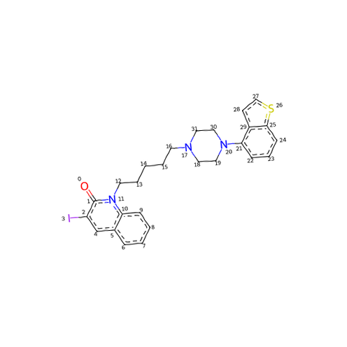 O=c1c(I)cc2ccccc2n1CCCCCN1CCN(c2cccc3sccc23)CC1